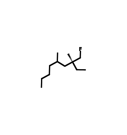 CCCCC(C)C[C@](C)(CC)CF